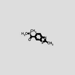 Cc1nc2ccc(C(=O)N(C)C)cc2s1